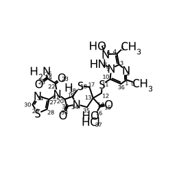 CC1=NC2=C(C)N(O)NN2C(SCC2(C(=O)O)CS[C@@H]3C(N(C(=O)C(N)=O)c4cscn4)C(=O)N3C2)=C1.Cl